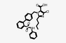 CCCCc1nc(Cl)c(C(=O)O)n1Cc1ccc(-c2ccccc2S(=O)(=O)Nc2ccccc2)cc1